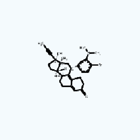 CC#C[C@]1(O)CC[C@H]2[C@@H]3CCC4=CC(=O)CCC4=C3[C@@H](c3ccc(C(C)C)c(N(C)C)c3)C[C@@]21C